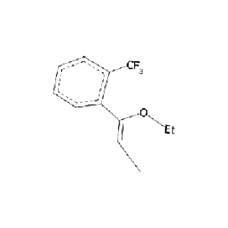 [CH2]COC(=CC)c1ccccc1C(F)(F)F